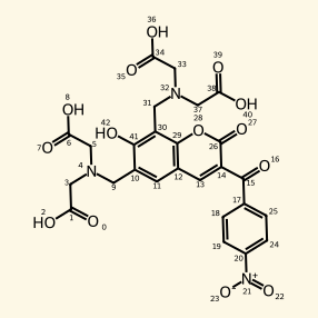 O=C(O)CN(CC(=O)O)Cc1cc2cc(C(=O)c3ccc([N+](=O)[O-])cc3)c(=O)oc2c(CN(CC(=O)O)CC(=O)O)c1O